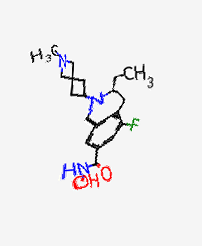 CC[C@H]1Cc2c(F)cc(C(=O)NO)cc2CN1C1CC2(C1)CN(C)C2